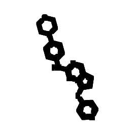 c1cc(Sc2ccc3cnc(Nc4ccc(N5CCOCC5)cc4)nn23)ccn1